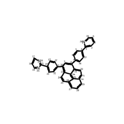 c1ccc(-c2ccc(-c3cc(-c4ccc(-c5ncccn5)cc4)c4ccc5cccc6ccc3c4c65)cc2)nc1